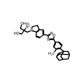 Cc1cc(-c2nc(-c3ccc4c(c3)CCN4CC(N)(CO)CO)no2)ccc1C12CC3CC(CC(C3)C1)C2